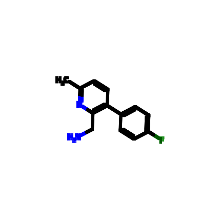 Cc1ccc(-c2ccc(F)cc2)c(CN)n1